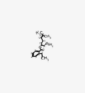 CCc1ccccc1C(=O)OC(CCCC(C)C)COC